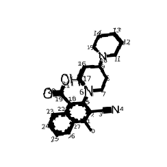 Cc1c(C#N)c(N2CCC(N3CCCCC3)CC2)c(C(=O)O)c2ccccc12